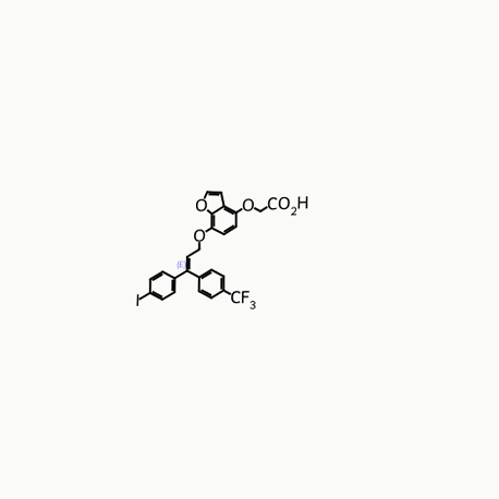 O=C(O)COc1ccc(OC/C=C(/c2ccc(I)cc2)c2ccc(C(F)(F)F)cc2)c2occc12